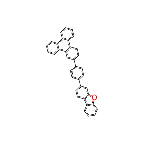 c1ccc2c(c1)oc1cc(-c3ccc(-c4ccc5c6ccccc6c6ccccc6c5c4)cc3)ccc12